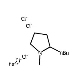 CCCCC1CCCN1C.[Cl-].[Cl-].[Cl-].[Cl-].[Fe+4]